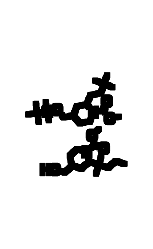 CCCC(C)(C)C1CC(CO)CCN1C(=O)OC.COC(=O)N1CCC(CO[Si](C)(C)C(C)(C)C)CC1CCC(C)(C)C